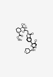 CC(NC(=O)CN1Cc2ccc(-c3nc(NC4CCOCC4)ncc3Cl)cc2C1=O)[C@@H]1CCCN(C(=O)OC(C)(C)C)C1